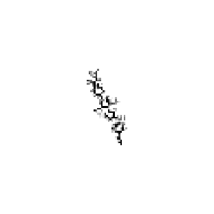 COc1cc(C2CCN(C(=O)CN(C)C)CC2)ccc1-c1cc(Nc2cnc(C#N)cn2)n[nH]1.Cl